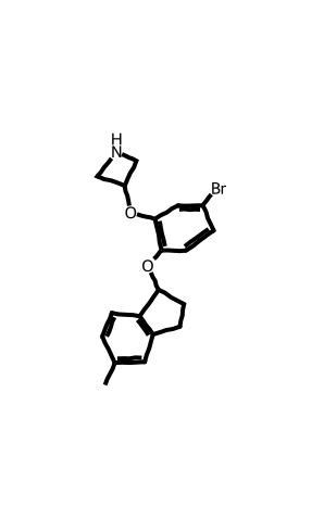 Cc1ccc2c(c1)CCC2Oc1ccc(Br)cc1OC1CNC1